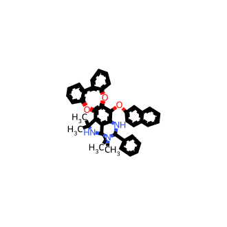 CC[C@@]12NC(C)(C)c3c1c(c(Oc1ccc4ccccc4c1)c1oc4ccccc4c4ccccc4oc31)NC(c1ccccc1)N2C